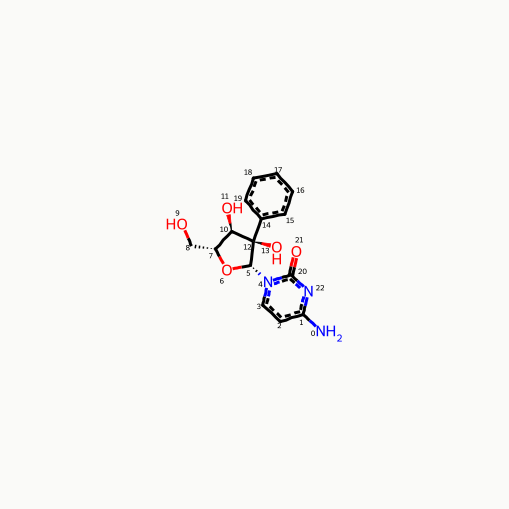 Nc1ccn([C@@H]2O[C@H](CO)[C@@H](O)[C@]2(O)c2ccccc2)c(=O)n1